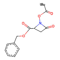 CC(C)(C)C(=O)ON1C(=O)CC1C(=O)OCc1ccccc1